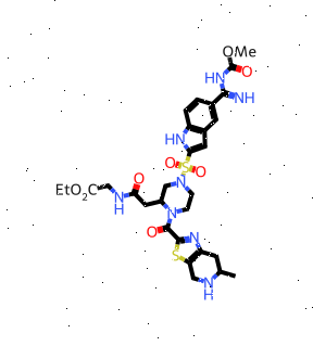 CCOC(=O)CNC(=O)CC1CN(S(=O)(=O)c2cc3cc(C(=N)NC(=O)OC)ccc3[nH]2)CCN1C(=O)c1nc2c(s1)CNC(C)C2